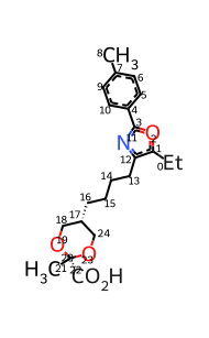 CCc1oc(-c2ccc(C)cc2)nc1CCCC[C@H]1CO[C@@](C)(C(=O)O)OC1